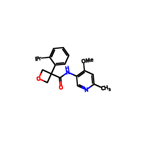 COc1cc(C)ncc1NC(=O)C1(c2ccccc2C(C)C)COC1